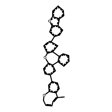 C/C1=C\C=C/COc2cc(-c3ccc4c(c3)-c3ccccc3-c3cc(-c5ccc6c(c5)oc5ccccc56)ccc3O4)ccc21